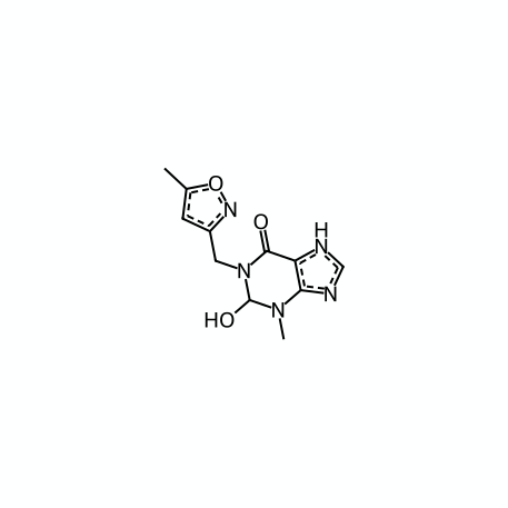 Cc1cc(CN2C(=O)c3[nH]cnc3N(C)C2O)no1